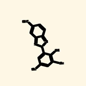 CC(C)(C)c1cc(-n2nc3ccc(C=O)cc3n2)c(O)c(C(C)(C)C)c1